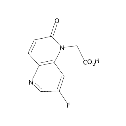 O=C(O)Cn1c(=O)ccc2ncc(F)cc21